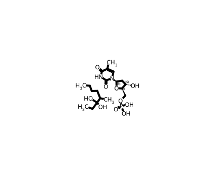 CCCCC(C)C(O)(O)CC.Cc1cn([C@H]2C[C@H](O)[C@@H](COP(=O)(O)O)O2)c(=O)[nH]c1=O